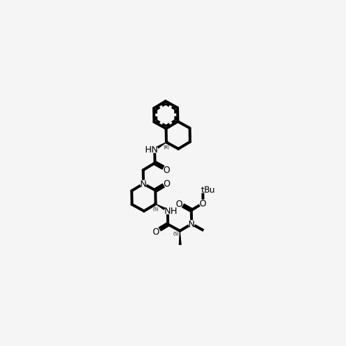 C[C@@H](C(=O)N[C@H]1CCCN(CC(=O)N[C@@H]2CCCc3ccccc32)C1=O)N(C)C(=O)OC(C)(C)C